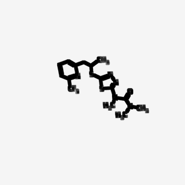 CC(Cc1cccc(C(F)(F)F)n1)Sc1nnc(N(C)C(=O)N(C)C)s1